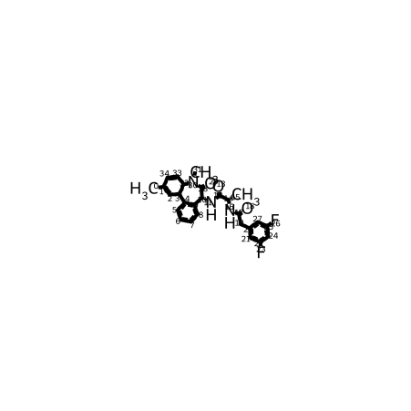 CC1=CC2c3ccccc3[C@H](NC(=O)[C@H](C)NC(=O)Cc3cc(F)cc(F)c3)C(=O)N(C)C2C=C1